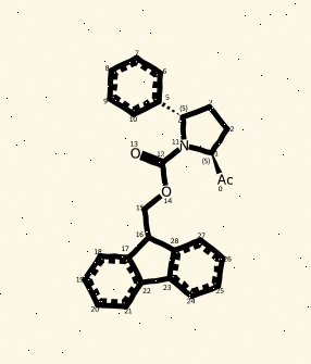 CC(=O)[C@@H]1CC[C@@H](c2ccccc2)N1C(=O)OCC1c2ccccc2-c2ccccc21